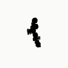 O=C(Nc1ccc(-c2cc(-c3cccc4c3cnn4C3CCCCO3)c(=O)n(CC(F)(F)F)n2)cc1)N1Cc2ccncc2C1